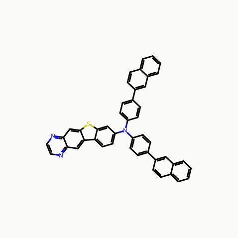 c1ccc2cc(-c3ccc(N(c4ccc(-c5ccc6ccccc6c5)cc4)c4ccc5c(c4)sc4cc6nccnc6cc45)cc3)ccc2c1